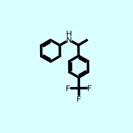 CC(NC1C=CC=CC1)c1ccc(C(F)(F)F)cc1